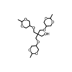 CC1OCC(OCC(CO)(COC2COC(C)OC2)COC2COC(C)OC2)CO1